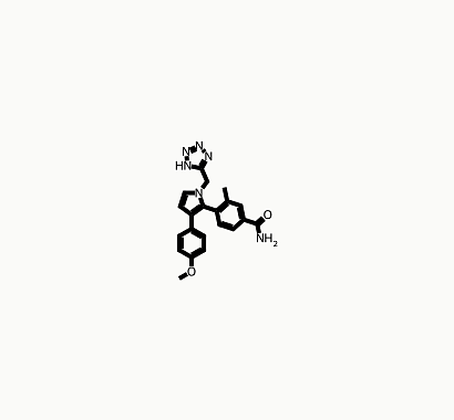 COc1ccc(-c2ccn(Cc3nnn[nH]3)c2-c2ccc(C(N)=O)cc2C)cc1